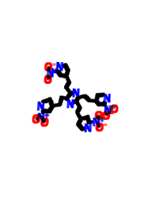 O=[N+]([O-])c1cc(C=Cc2nc(C=Cc3ccnc([N+](=O)[O-])c3)c(C=Cc3ccnc([N+](=O)[O-])c3)nc2C=Cc2ccnc([N+](=O)[O-])c2)ccn1